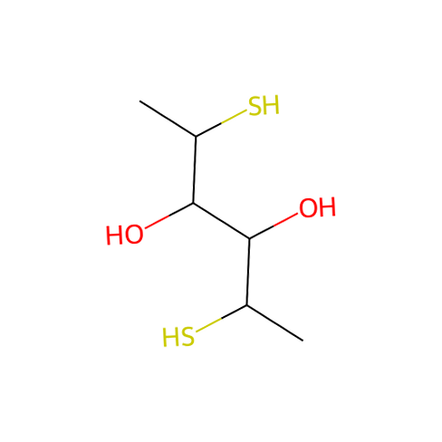 CC(S)C(O)C(O)C(C)S